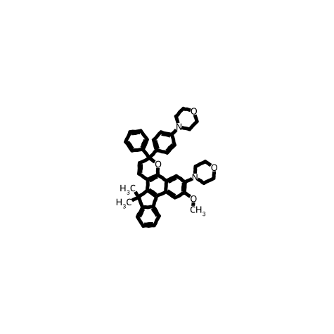 COc1cc2c3c(c4c(c2cc1N1CCOCC1)OC(c1ccccc1)(c1ccc(N2CCOCC2)cc1)C=C4)C(C)(C)c1ccccc1-3